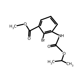 COC(=O)c1cccc(NC(=O)OC(C)C)c1Br